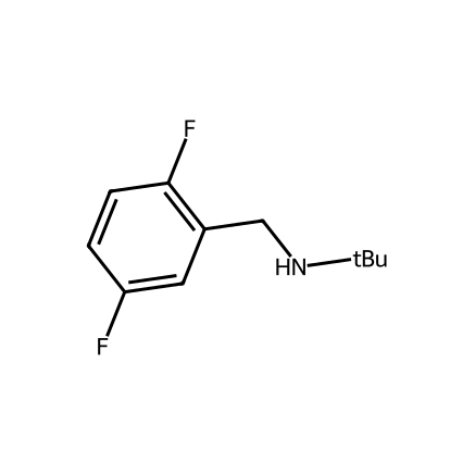 CC(C)(C)NCc1cc(F)ccc1F